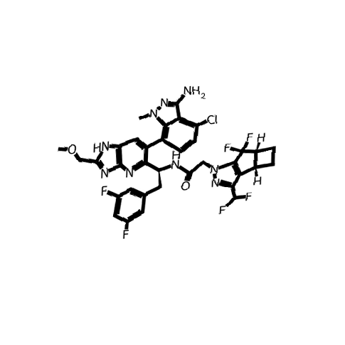 COCc1nc2nc([C@H](Cc3cc(F)cc(F)c3)NC(=O)Cn3nc(C(F)F)c4c3C(F)(F)[C@@H]3CC[C@H]43)c(-c3ccc(Cl)c4c(N)nn(C)c34)cc2[nH]1